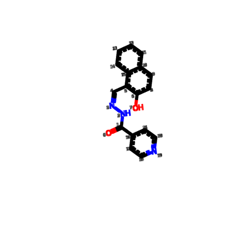 O=C(N/N=C\c1c(O)ccc2ccccc12)c1ccncc1